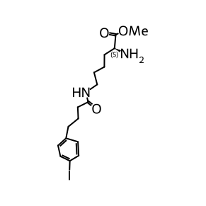 COC(=O)[C@@H](N)CCCCNC(=O)CCCc1ccc(I)cc1